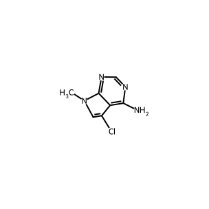 Cn1cc(Cl)c2c(N)ncnc21